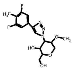 COC1COC(CO)C(O)C1n1cc(-c2cc(F)c(C)c(F)c2)nn1